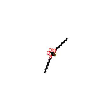 CCCCCCCCCCOc1csc(OCCCCCCCCCC)c1C(=O)O